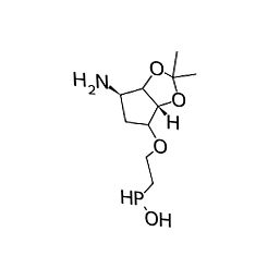 CC1(C)OC2[C@H](O1)C(OCCPO)C[C@H]2N